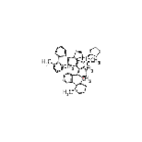 Cc1cccc(C)c1-c1ccccc1-c1cccc2c1C=C[CH]2[Hf]([CH3])([CH3])(=[C]1CCCC1)[CH]1C=Cc2c(-c3ccccc3-c3c(C)cccc3C)cccc21